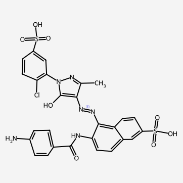 Cc1nn(-c2cc(S(=O)(=O)O)ccc2Cl)c(O)c1/N=N/c1c(NC(=O)c2ccc(N)cc2)ccc2cc(S(=O)(=O)O)ccc12